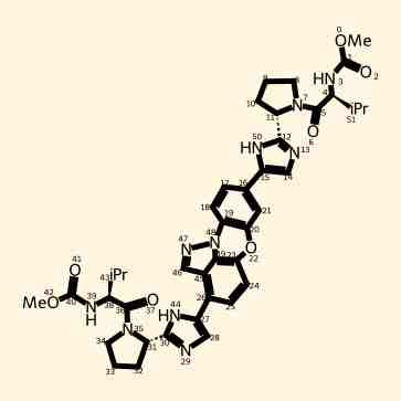 COC(=O)N[C@H](C(=O)N1CCC[C@H]1c1ncc(-c2ccc3c(c2)Oc2ccc(-c4cnc([C@@H]5CCCN5C(=O)[C@@H](NC(=O)OC)C(C)C)[nH]4)c4cnn-3c24)[nH]1)C(C)C